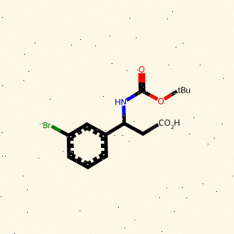 CC(C)(C)OC(=O)NC(CC(=O)O)c1cccc(Br)c1